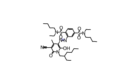 CCCCC(CC)Cn1c(O)c(/N=N/c2cc(S(=O)(=O)N(CC)CCCC)ccc2S(=O)(=O)N(CC)CCCC)c(C)c(C#N)c1=O